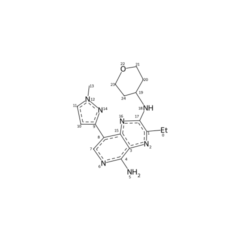 CCc1nc2c(N)ncc(-c3ccn(C)n3)c2nc1NC1CCOCC1